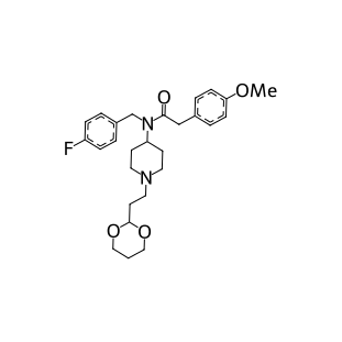 COc1ccc(CC(=O)N(Cc2ccc(F)cc2)C2CCN(CCC3OCCCO3)CC2)cc1